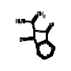 C=C(N)[C]1C(=O)c2ccccc2C1=O